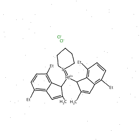 CCc1ccc(CC)c2c1C=C(C)[CH]2[Hf+2]([CH]1C(C)=Cc2c(CC)ccc(CC)c21)=[Si]1CCCCC1.[Cl-].[Cl-]